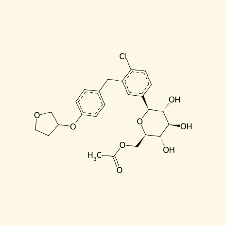 CC(=O)OC[C@H]1O[C@@H](c2ccc(Cl)c(Cc3ccc(OC4CCOC4)cc3)c2)[C@H](O)[C@@H](O)[C@@H]1O